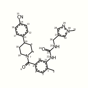 Cc1ccc(C(=O)N2CCC(c3ccc(C#N)cc3)CC2)cc1NC(=O)NCc1cnn(C)c1